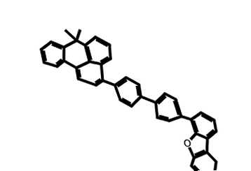 CC1(C)c2ccccc2-c2ccc(-c3ccc(-c4ccc(-c5cccc6c7c(oc56)C=CCC7)cc4)cc3)c3cccc1c23